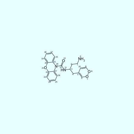 NCCC(CC1=COOC=C1)NC(=O)N1c2ccccc2Oc2ccccc21